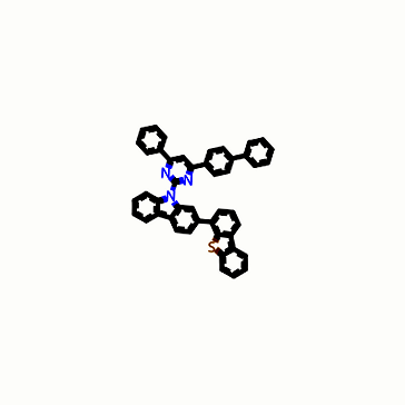 c1ccc(-c2ccc(-c3cc(-c4ccccc4)nc(-n4c5ccccc5c5ccc(-c6cccc7c6sc6ccccc67)cc54)n3)cc2)cc1